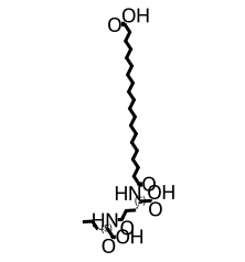 CCC[C@H](NC(=O)CC[C@H](NC(=O)CCCCCCCCCCCCCCCCCCC(=O)O)C(=O)O)C(=O)O